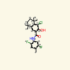 Cc1cc(F)c(NC(=O)c2cc3c(c(Cl)c2O)C(C)(C)CCC3(C)C)cc1F